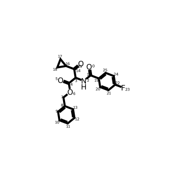 O=C(NC(C(=O)OCc1ccccc1)C(=O)C1CC1)c1ccc(F)cc1